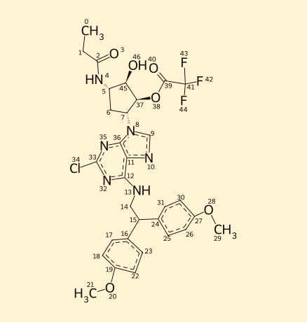 CCC(=O)N[C@H]1C[C@@H](n2cnc3c(NCC(c4ccc(OC)cc4)c4ccc(OC)cc4)nc(Cl)nc32)[C@H](OC(=O)C(F)(F)F)[C@@H]1O